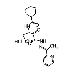 C/C(=N\NC(=O)C(=O)C(CC(C)(C)C)NC(=O)C1CCCCC1)c1ccccn1.Cl